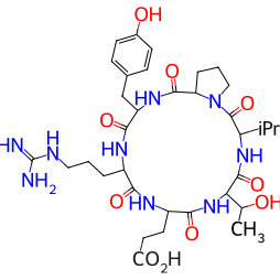 CC(C)C1NC(=O)C(C(C)O)NC(=O)C(CCC(=O)O)NC(=O)C(CCCNC(=N)N)NC(=O)C(Cc2ccc(O)cc2)NC(=O)C2CCCN2C1=O